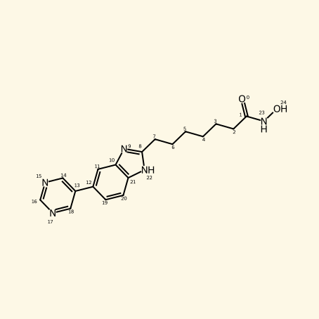 O=C(CCCCCCc1nc2cc(-c3cncnc3)ccc2[nH]1)NO